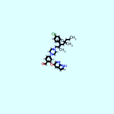 CCCC(C)(C)C/C(=C(\C)CN1CCN(c2ccc(C=O)c(Oc3cnc4[nH]ccc4c3)c2)CC1)c1ccc(Cl)cc1